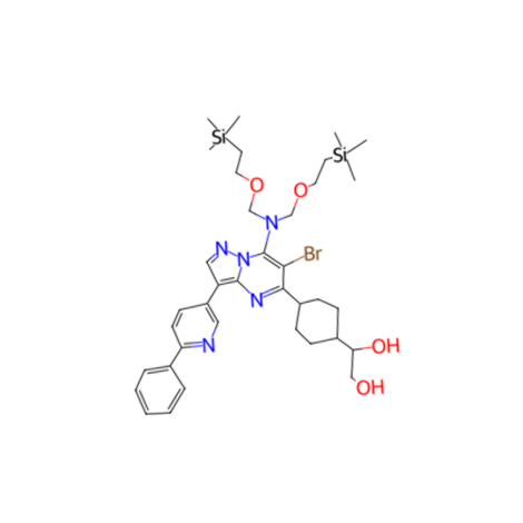 C[Si](C)(C)CCOCN(COCC[Si](C)(C)C)c1c(Br)c(C2CCC(C(O)CO)CC2)nc2c(-c3ccc(-c4ccccc4)nc3)cnn12